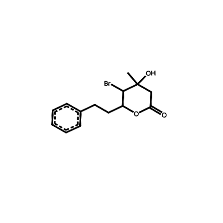 CC1(O)CC(=O)OC(CCc2ccccc2)C1Br